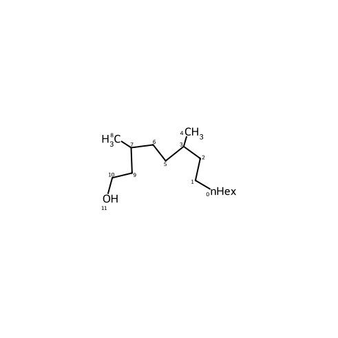 CCCCCCCCC(C)CCC(C)CCO